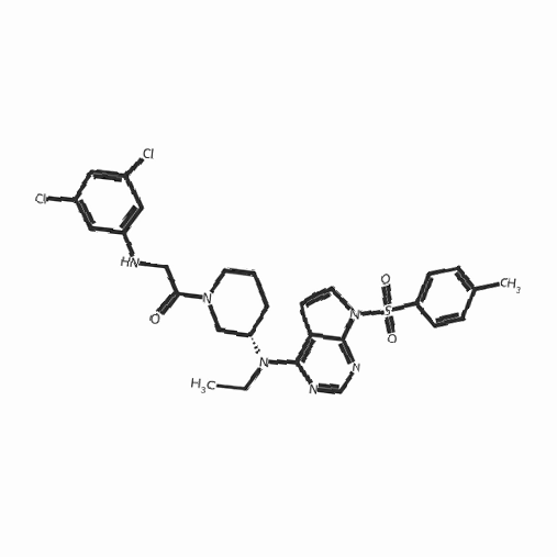 CCN(c1ncnc2c1ccn2S(=O)(=O)c1ccc(C)cc1)[C@H]1CCCN(C(=O)CNc2cc(Cl)cc(Cl)c2)C1